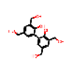 OCc1cc(CO)c(O)c(-c2cc(CO)cc(CO)c2O)c1